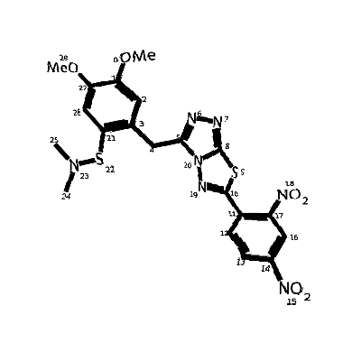 COc1cc(Cc2nnc3sc(-c4ccc([N+](=O)[O-])cc4[N+](=O)[O-])nn23)c(SN(C)C)cc1OC